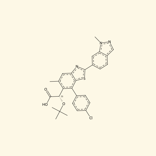 Cc1cc2nc(-c3ccc4cnn(C)c4c3)sc2c(-c2ccc(Cl)cc2)c1[C@H](OC(C)(C)C)C(=O)O